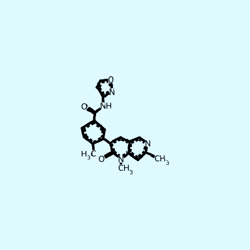 Cc1cc2c(cn1)cc(-c1cc(C(=O)Nc3ccon3)ccc1C)c(=O)n2C